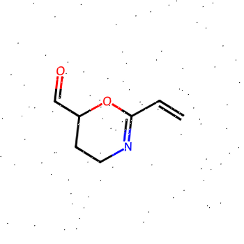 C=CC1=NCCC(C=O)O1